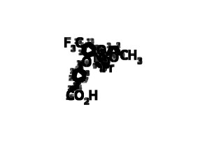 Cc1ccc(S(=O)(=O)N(CC(C)C)c2ccc(C(F)(F)F)cc2OCc2ccc(C=CC(=O)O)cc2)o1